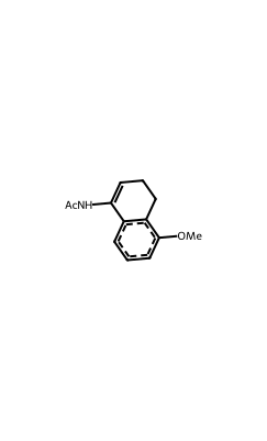 COc1cccc2c1CCC=C2NC(C)=O